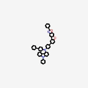 c1ccc(-c2ccc(N(c3ccc(-c4ccc5oc6cc7oc(-c8ccccc8)nc7cc6c5c4)cc3)c3cccc4c3c3ccccc3n4-c3ccccc3)cc2)cc1